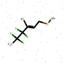 CC[CH]SC/C=C(\CC)C(F)(F)C(F)(F)C(F)(F)F